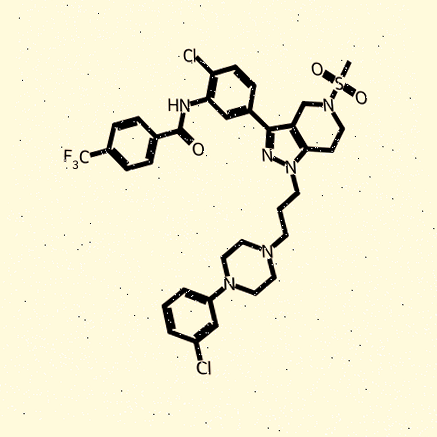 CS(=O)(=O)N1CCc2c(c(-c3ccc(Cl)c(NC(=O)c4ccc(C(F)(F)F)cc4)c3)nn2CCCN2CCN(c3cccc(Cl)c3)CC2)C1